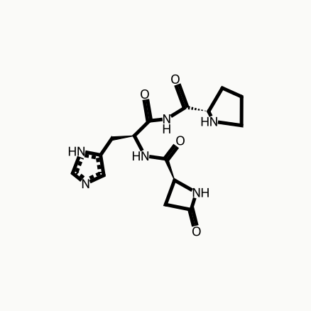 O=C1C[C@@H](C(=O)N[C@@H](Cc2cnc[nH]2)C(=O)NC(=O)[C@@H]2CCCN2)N1